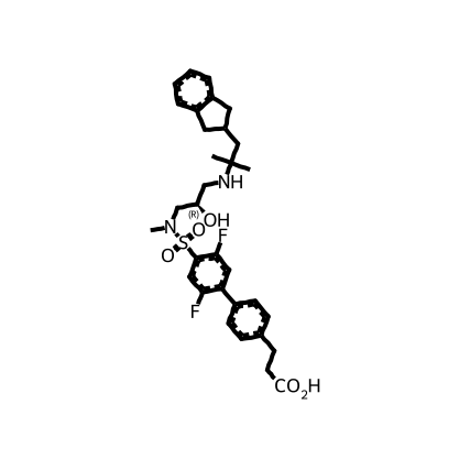 CN(C[C@H](O)CNC(C)(C)CC1Cc2ccccc2C1)S(=O)(=O)c1cc(F)c(-c2ccc(CCC(=O)O)cc2)cc1F